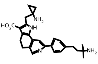 CC(C)(N)CCc1ccc(-c2cc3c(cn2)CCc2c-3[nH]c(CC3(N)CC3)c2C(=O)O)cc1